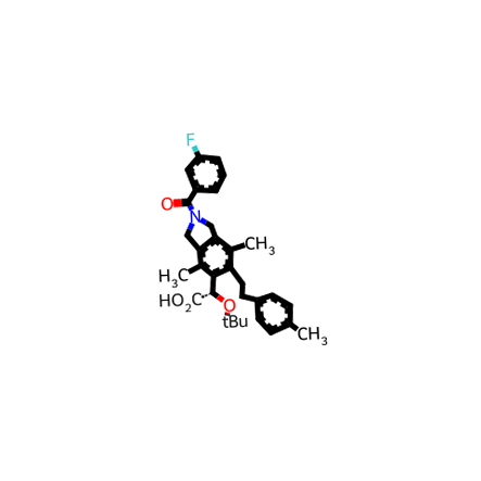 Cc1ccc(CCc2c(C)c3c(c(C)c2[C@H](OC(C)(C)C)C(=O)O)CN(C(=O)c2cccc(F)c2)C3)cc1